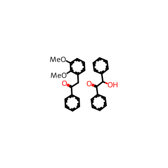 COc1cccc(CC(=O)c2ccccc2)c1OC.O=C(c1ccccc1)C(O)c1ccccc1